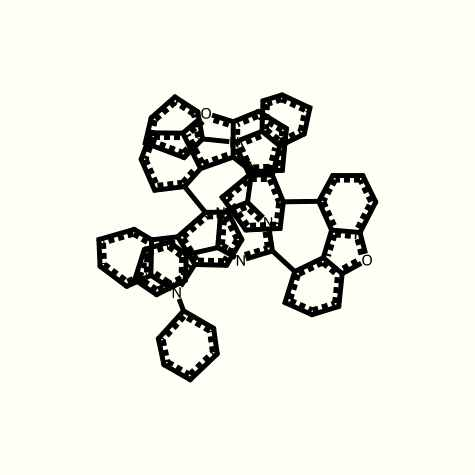 c1ccc(-c2nc(-c3cccc4oc5cccc(-c6cccc7c6c6ccccc6n7-c6ccccc6)c5c34)nc(-c3cccc4oc5cccc(-c6cccc7c6c6ccccc6n7-c6ccccc6)c5c34)n2)cc1